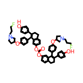 O=C(Oc1ccc2c(c1)C(c1ccc(OC3CCN(CCCF)C3)cc1)=C(c1ccc(O)cc1)CC2)Oc1ccc2c(c1)C(c1ccc(OC3CCN(CCCF)C3)cc1)=C(c1ccc(O)cc1)CC2